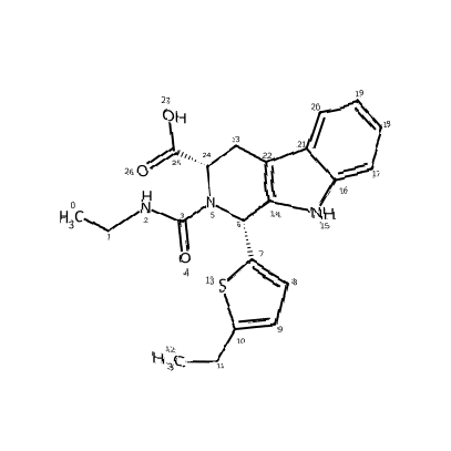 CCNC(=O)N1[C@@H](c2ccc(CC)s2)c2[nH]c3ccccc3c2C[C@H]1C(=O)O